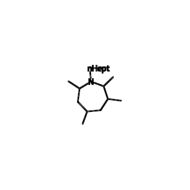 CCCCCCCN1C(C)CC(C)CC(C)C1C